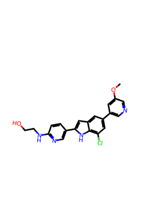 COc1cncc(-c2cc(Cl)c3[nH]c(-c4ccc(NCCO)nc4)cc3c2)c1